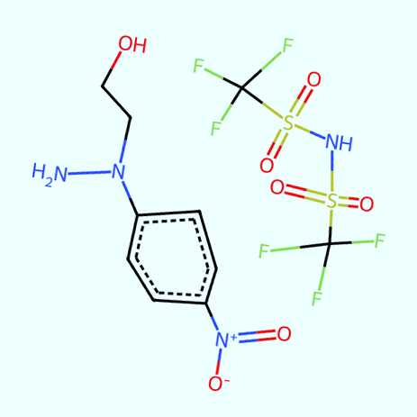 NN(CCO)c1ccc([N+](=O)[O-])cc1.O=S(=O)(NS(=O)(=O)C(F)(F)F)C(F)(F)F